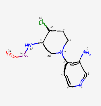 Nc1cnccc1N1CCC(Cl)C(NPO)C1